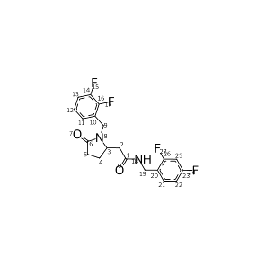 O=C(CC1CCC(=O)N1Cc1cccc(F)c1F)NCc1ccc(F)cc1F